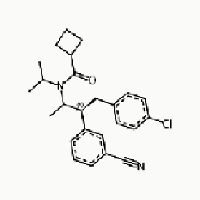 CC(C)N(C(=O)C1CCC1)C(C)[C@@H](Cc1ccc(Cl)cc1)c1cccc(C#N)c1